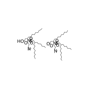 CCCCCCCCCC(CC(=O)O)N(CCCN(C)C)S(=O)(=O)CC(CCCCCC)CCCCCCCC.CCCCCCCCCC(CC(=O)OC)N(CCCN(C)C)S(=O)(=O)CC(CCCCCC)CCCCCCCC